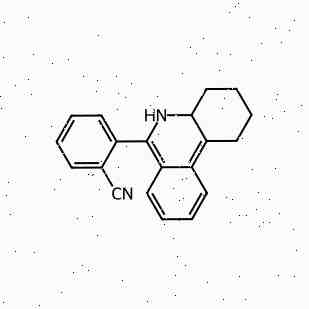 N#Cc1ccccc1C1=c2ccccc2=C2CCCCC2N1